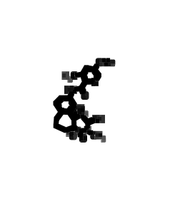 COc1cnc(C(=O)Nc2ccc3c(c2)[C@@]2(C)NC(=N)N(C)S(=O)(=O)[C@H]2CCC3)c(C)c1